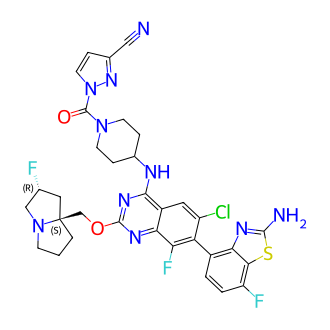 N#Cc1ccn(C(=O)N2CCC(Nc3nc(OC[C@@]45CCCN4C[C@H](F)C5)nc4c(F)c(-c5ccc(F)c6sc(N)nc56)c(Cl)cc34)CC2)n1